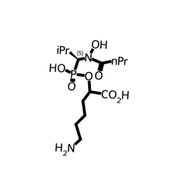 CCCC(=O)N(O)[C@H](C(C)C)P(=O)(O)OC(CCCCN)C(=O)O